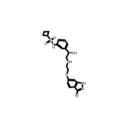 CCc1n[nH]c2cc(OCCNC[C@H](O)c3cccc(NS(=O)(=O)C4CCC4)c3)ccc12